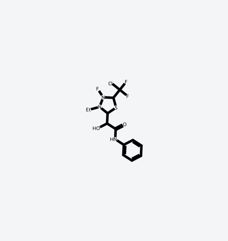 CCN1C(C(O)C(=O)Nc2ccccc2)SC(C(F)(F)Cl)N1F